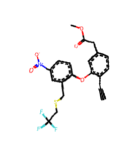 C#Cc1ccc(CC(=O)OC)cc1Oc1ccc([N+](=O)[O-])cc1CSCC(F)(F)F